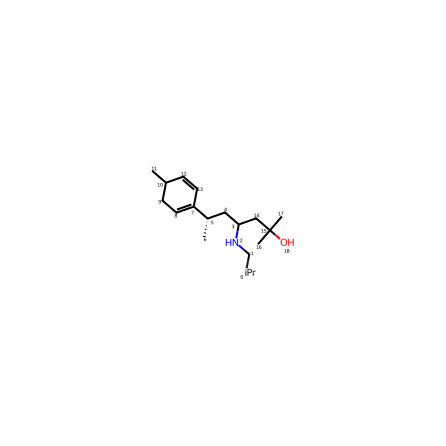 CC(C)CNC(C[C@H](C)C1=CCC(C)C=C1)CC(C)(C)O